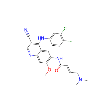 COc1cc2ncc(C#N)c(Nc3ccc(F)c(Cl)c3)c2cc1NC(=O)C=CCN(C)C